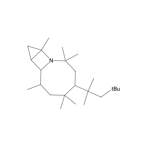 CC1CC(C)(C)C(C(C)(C)CC(C)(C)C)CC(C)(C)N2C1C1CC12C